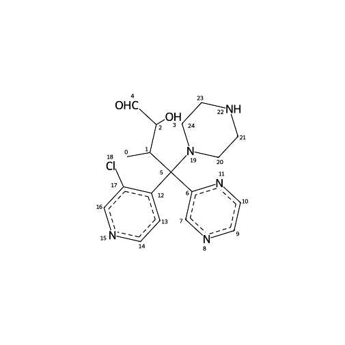 CC(C(O)C=O)C(c1cnccn1)(c1ccncc1Cl)N1CCNCC1